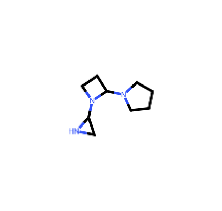 C1CCN(C2CCN2C2CN2)C1